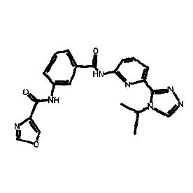 CC(C)n1cnnc1-c1cccc(NC(=O)c2cccc(NC(=O)c3cocn3)c2)n1